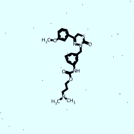 COc1cccc(C2=NN(Cc3cccc(NC(=O)OCCCN(C)C)c3)C(=O)SC2)c1